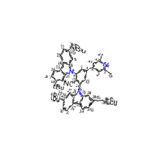 Cc1cc(-c2cc(-n3c4cc(C(C)(C)C)ccc4c4ccc(C(C)(C)C)cc43)c(C#N)c(-n3c4cc(C(C)(C)C)ccc4c4ccc(C(C)(C)C)cc43)c2)cc(C)n1